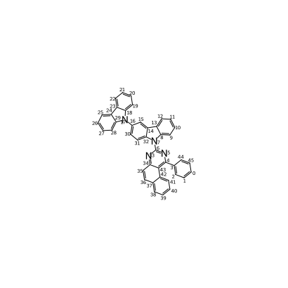 c1ccc(-c2nc(-n3c4ccccc4c4cc(-n5c6ccccc6c6ccccc65)ccc43)nc3ccc4ccccc4c23)cc1